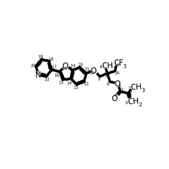 C=C(C)C(=O)OCC(C)(COc1ccc2cc(-c3cccnc3)oc2c1)CC(F)(F)F